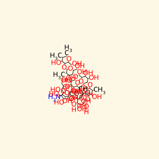 CC1C(O)[C@H](O[C@@H]2OC(CO[C@]3(C(=O)O)C[C@@H](O)[C@@H](N)C([C@H](O)[C@H](O)CO)O3)[C@H](O)[C@H](O)C2O)[C@H](CO)O[C@H]1O[C@@H]1C(O)[C@H](O)C(CO)O[C@@H]1OCC1O[C@@H](O[C@@H]2C(CO)O[C@@H](O[C@@H]3C(CO)O[C@@H](C)[C@@H](C)C3O)[C@@H](C)C2O)[C@H](O)C(O[C@H]2O[C@H](CO)[C@@H](O)C(O)C2O[C@@H]2OC(CO)[C@@H](O)[C@H](O)C2C)[C@@H]1O